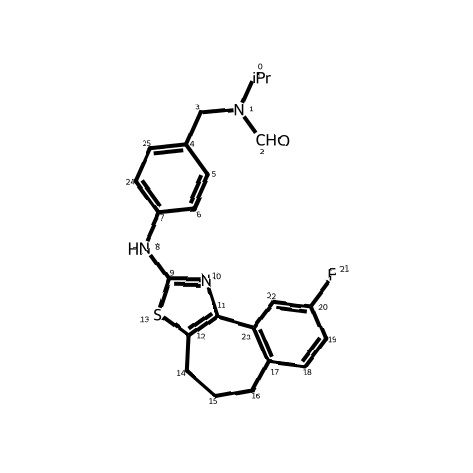 CC(C)N(C=O)Cc1ccc(Nc2nc3c(s2)CCCc2ccc(F)cc2-3)cc1